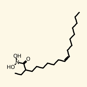 CCCCCCCC/C=C\CCCCCCC(CC)C(=O)N(O)O